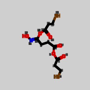 O=C(CCS)OC(=O)CC/C(=N/O)OC(=O)CCS